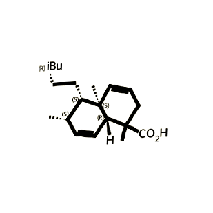 CC[C@@H](C)CC[C@H]1[C@@H](C)C=C[C@H]2C(C)(C(=O)O)CC=C[C@]12C